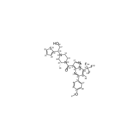 COc1ccc(-c2nc3c(C(=O)N4CCN(C(CO)c5cccs5)C[C@H]4C)cnn3c(C(F)(F)F)c2C)cc1